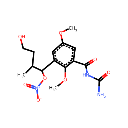 COc1cc(C(=O)NC(N)=O)c(OC)c(C(O[N+](=O)[O-])C(C)CCO)c1